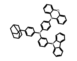 c1cc(N(c2ccc(N3c4ccccc4Oc4ccccc43)cc2)c2ccc(C34CC5CC(CC(C5)C3)C4)cc2)cc(-n2c3ccccc3c3ccccc32)c1